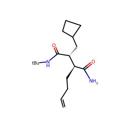 C=CCC[C@H](C(N)=O)[C@@H](CC1CCC1)C(=O)NC(C)(C)C